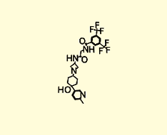 Cc1ccc([C@]2(O)CC[C@H](N3CC(NC(=O)CNC(=O)c4cc(C(F)(F)F)cc(C(F)(F)F)c4)C3)CC2)cn1